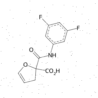 O=C(O)C1(C(=O)Nc2cc(F)cc(F)c2)CC=CO1